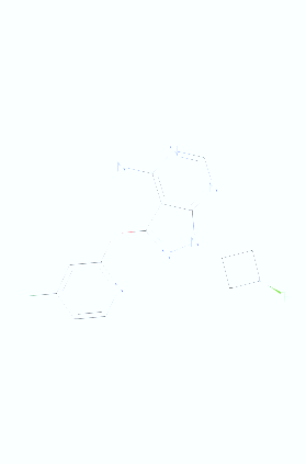 Nc1ncnc2c1c(Oc1cc(Cl)ccn1)nn2[C@H]1C[C@H](F)C1